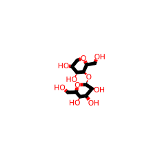 OCC1O[C@H](O[C@@H]2C(CO)OCC(O)[C@H]2O)[C@@H](O)C(O)[C@@H]1O